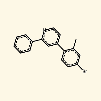 Cc1cc(Br)ccc1-c1ccnc(-c2ccccc2)c1